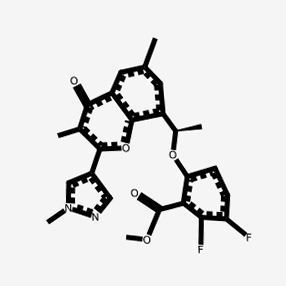 COC(=O)c1c(O[C@H](C)c2cc(C)cc3c(=O)c(C)c(-c4cnn(C)c4)oc23)ccc(F)c1F